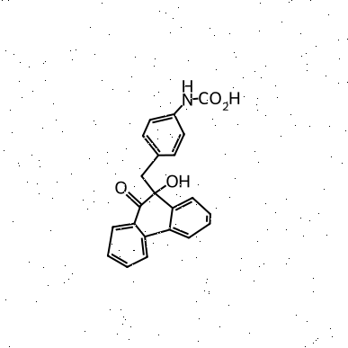 O=C(O)Nc1ccc(CC2(O)C(=O)c3ccccc3-c3ccccc32)cc1